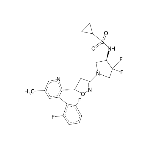 Cc1cnc([C@@H]2CC(N3C[C@@H](NS(=O)(=O)C4CC4)C(F)(F)C3)=NO2)c(-c2c(F)cccc2F)c1